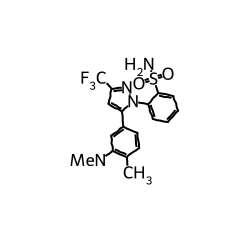 CNc1cc(-c2cc(C(F)(F)F)nn2-c2ccccc2S(N)(=O)=O)ccc1C